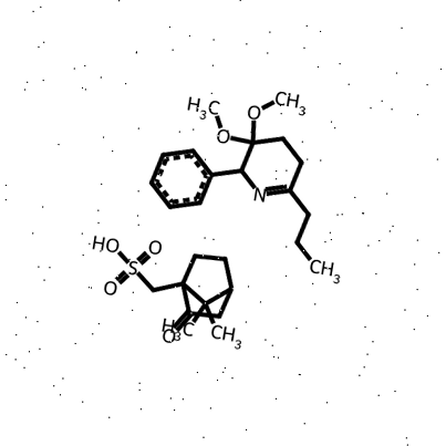 CC1(C)C2CCC1(CS(=O)(=O)O)C(=O)C2.CCCC1=NC(c2ccccc2)C(OC)(OC)CC1